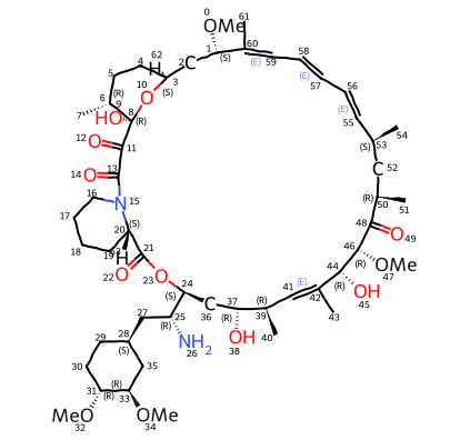 CO[C@H]1C[C@@H]2CC[C@@H](C)[C@@](O)(O2)C(=O)C(=O)N2CCCC[C@H]2C(=O)O[C@H]([C@H](N)C[C@@H]2CC[C@@H](OC)[C@H](OC)C2)C[C@@H](O)[C@H](C)/C=C(\C)[C@@H](O)[C@@H](OC)C(=O)[C@H](C)C[C@H](C)/C=C/C=C/C=C/1C